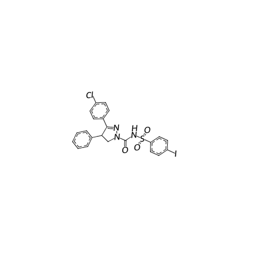 O=C(NS(=O)(=O)c1ccc(I)cc1)N1CC(c2ccccc2)C(c2ccc(Cl)cc2)=N1